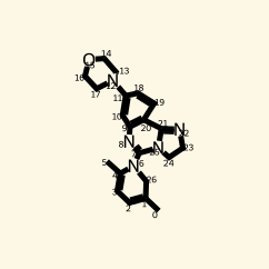 CC1=CC=C(C)N(C2=Nc3cc(N4CCOCC4)ccc3C3=NCCN32)C1